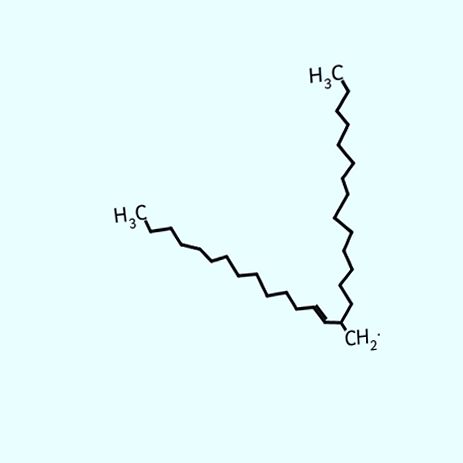 [CH2]C(C=CCCCCCCCCCCCC)CCCCCCCCCCCCCC